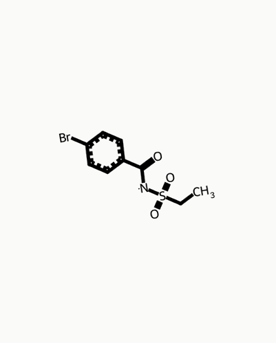 CCS(=O)(=O)[N]C(=O)c1ccc(Br)cc1